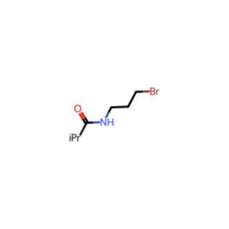 CC(C)C(=O)NCCCBr